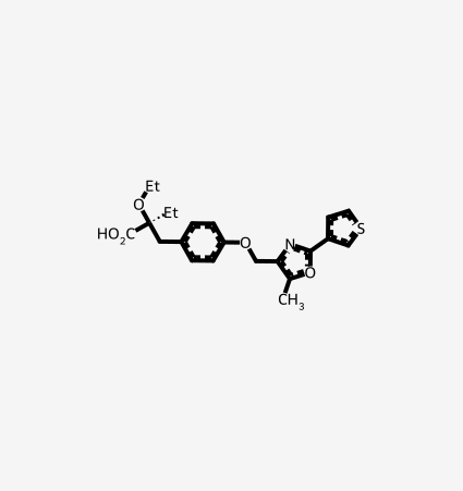 CCO[C@@](CC)(Cc1ccc(OCc2nc(-c3ccsc3)oc2C)cc1)C(=O)O